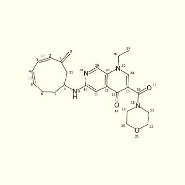 C=C1/C=C\C=C/CCC(Nc2cc3c(=O)c(C(=O)N4CCOCC4)cn(CC)c3cn2)C1